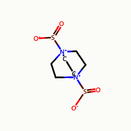 O=S([O-])[N+]12CC[N+](S(=O)[O-])(CC1)CC2